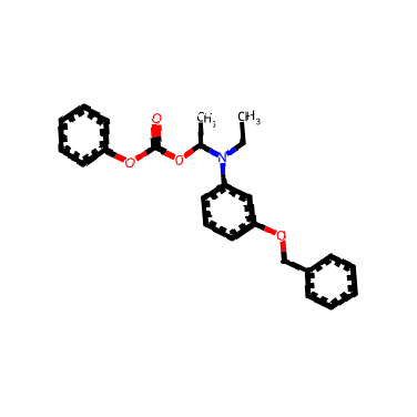 CCN(c1cccc(OCc2ccccc2)c1)C(C)OC(=O)Oc1ccccc1